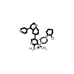 C=S(=O)(c1cc(-c2ccc3nccc(-c4ccncc4)c3c2)cnc1N)N1CCN(c2ccccc2Cl)CC1